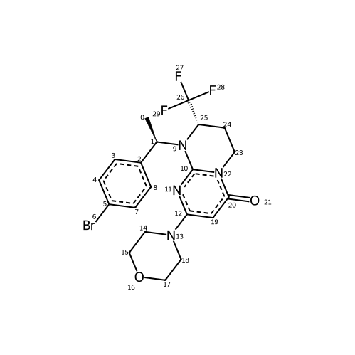 C[C@H](c1ccc(Br)cc1)N1c2nc(N3CCOCC3)cc(=O)n2CC[C@H]1C(F)(F)F